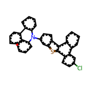 Clc1ccc2c(c1)c1ccccc1c1c3ccc(N(c4ccccc4)c4ccccc4-c4ccccc4)cc3sc21